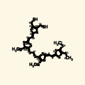 CSC1=C(SC)SC(=CC=C2SC(SC)=C(SCSC3=C(SC)SC(=CC=C4SC(CS)=C(CS)S4)S3)S2)S1